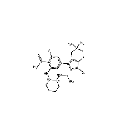 CCc1nn(-c2cc(F)c(C(N)=O)c(N[C@H]3CCCC[C@@H]3NCC(C)(C)C)c2)c2c1CCC(C)(C)C2